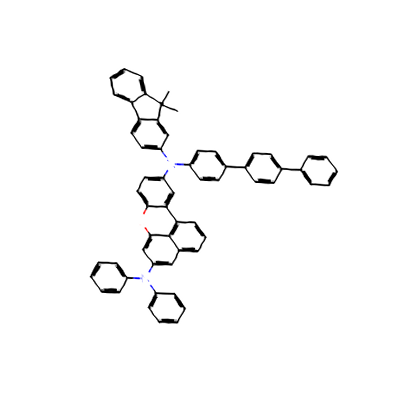 CC1(C)c2ccccc2-c2ccc(N(c3ccc(-c4ccc(-c5ccccc5)cc4)cc3)c3ccc4c(c3)-c3cccc5cc(N(c6ccccc6)c6ccccc6)cc(c35)O4)cc21